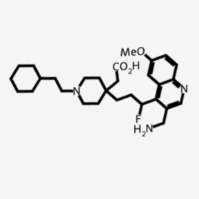 COc1ccc2ncc(CN)c(C(F)CCC3(CC(=O)O)CCN(CCC4CCCCC4)CC3)c2c1